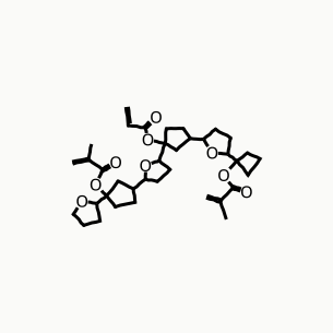 C=CC(=O)OC1(C2CCC(C3CCC(OC(=O)C(=C)C)(C4CCCO4)C3)O2)CCC(C2CCC(C3(OC(=O)C(=C)C)CCC3)O2)C1